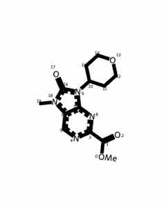 COC(=O)c1ncc2c(n1)n(C1CCOCC1)c(=O)n2C